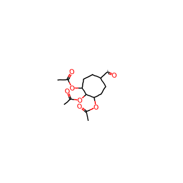 CC(=O)OC1CCC([C]=O)CCC(OC(C)=O)C1OC(C)=O